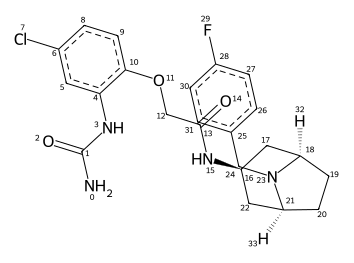 NC(=O)Nc1cc(Cl)ccc1OCC(=O)N[C@H]1C[C@H]2CC[C@@H](C1)N2Cc1ccc(F)cc1